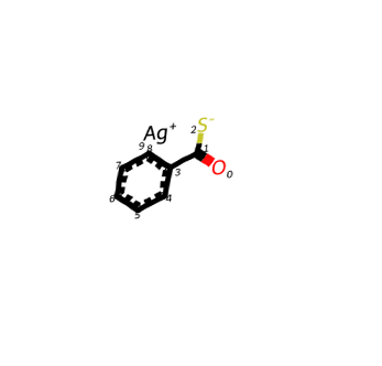 O=C([S-])c1ccccc1.[Ag+]